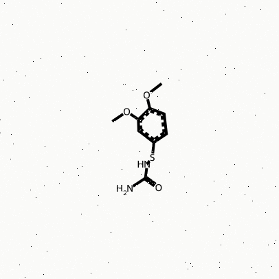 COc1ccc(SNC(N)=O)cc1OC